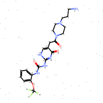 NCCCN1CCN(C(=O)Cc2c[nH]c(NC(=O)Nc3ccccc3OC(F)(F)F)nc2=O)CC1